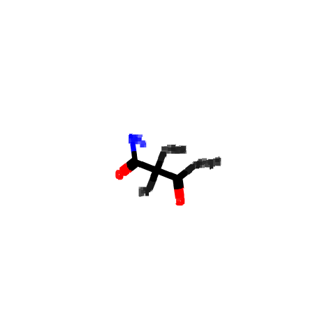 CCCCCCCC(=O)C(CCCCCC)(C(N)=O)C(C)C